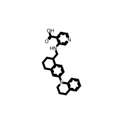 O=C(O)c1ccncc1NCC1CCCc2cc(N3CCCc4ccccc43)ccc21